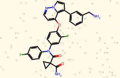 NCc1cccc(-c2ccn3nccc(Oc4ccc(N(C(=O)C5(C(N)=O)CC5)c5ccc(F)cc5)cc4F)c23)c1